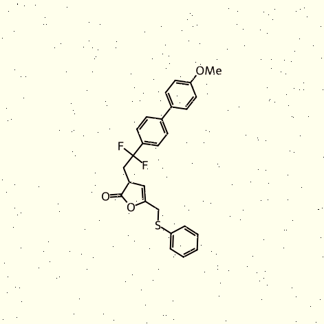 COc1ccc(-c2ccc(C(F)(F)CC3C=C(CSc4ccccc4)OC3=O)cc2)cc1